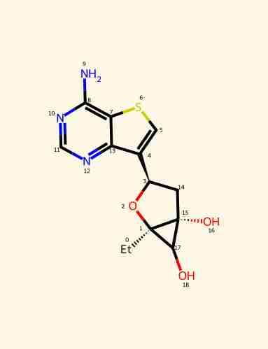 CC[C@]12O[C@@H](c3csc4c(N)ncnc34)C[C@@]1(O)C2O